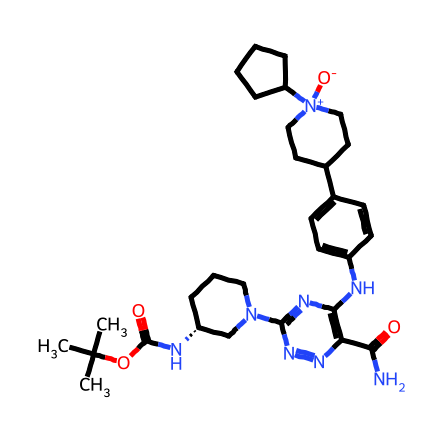 CC(C)(C)OC(=O)N[C@@H]1CCCN(c2nnc(C(N)=O)c(Nc3ccc(C4CC[N+]([O-])(C5CCCC5)CC4)cc3)n2)C1